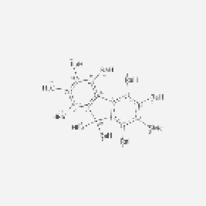 CSc1[c]([RaH])[c]([RaH])c2c([c]1[RaH])[C]([RaH])([RaH])c1[c]([RaH])c(C)[c]([RaH])[c]([RaH])c1-2